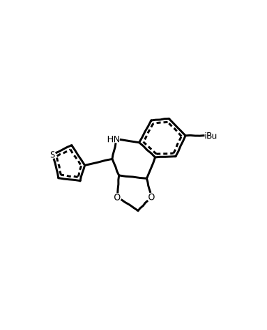 CCC(C)c1ccc2c(c1)C1OCOC1C(c1ccsc1)N2